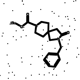 CC(C)(C)OC(=O)N1CCC2(CC1)CC(=O)N(Cc1ccccc1)C2